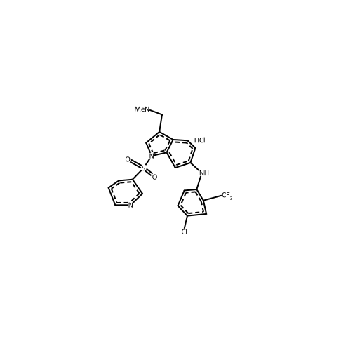 CNCc1cn(S(=O)(=O)c2cccnc2)c2cc(Nc3ccc(Cl)cc3C(F)(F)F)ccc12.Cl